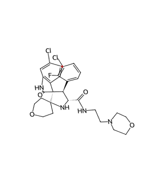 O=C(NCCN1CCOCC1)[C@@H]1NC2(CCOCC2)[C@@]2(C(=O)Nc3cc(Cl)ccc32)[C@H]1c1cccc(Cl)c1F